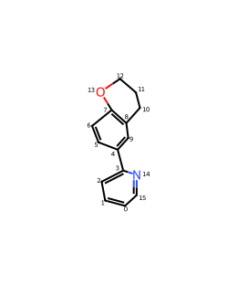 c1ccc(-c2ccc3c(c2)CCCO3)nc1